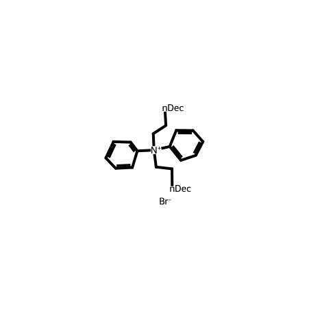 CCCCCCCCCCCC[N+](CCCCCCCCCCCC)(c1ccccc1)c1ccccc1.[Br-]